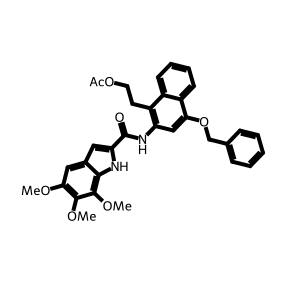 COc1cc2cc(C(=O)Nc3cc(OCc4ccccc4)c4ccccc4c3CCOC(C)=O)[nH]c2c(OC)c1OC